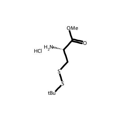 COC(=O)[C@@H](N)CSSC(C)(C)C.Cl